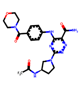 NC(=O)c1nnc(N2CC[C@@H](NC(=O)C(F)(F)F)C2)nc1Nc1ccc(C(=O)N2CCOCC2)cc1